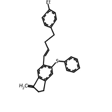 C=C1CCc2cc(Sc3ccccc3)c(/C=C/CCc3ccc(CC)cc3)cc21